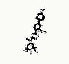 COc1c#cc(-c2ccc(-c3nnc(N(C)C4CC(C)(C)NC(C)(C)C4)s3)c(OC)c2)cn1